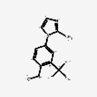 Cc1nccn1-c1ccc(CO)c(C(F)(F)F)c1